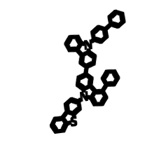 c1ccc(-c2ccc(-n3c4ccccc4c4cc(-c5ccc6c(c5)c5c(-c7ccccc7)cccc5n6-c5ccc6c(c5)sc5ccccc56)ccc43)cc2)cc1